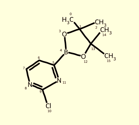 CC1(C)OB(c2ccnc(Cl)n2)OC1(C)C